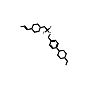 CC=CC1CCC(CC(F)(F)OCc2ccc(C3CCC(CC)CC3)cc2)CC1